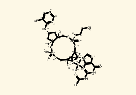 CC(C)C(=O)Nc1nc2c(ncn2[C@@H]2O[C@@H]3CO[P@@](=O)(S)O[C@H]4C[C@H](Nc5ncncc5F)C[C@@H]4CO[P@@](=S)(OCCC#N)O[C@@H]2[C@@H]3O[Si](C)(C)C(C)(C)C)c(=O)[nH]1